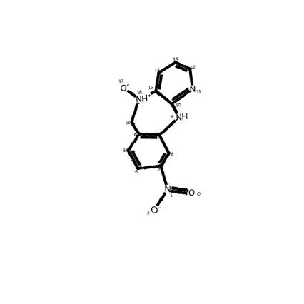 O=[N+]([O-])c1ccc2c(c1)Nc1ncccc1[NH+]([O-])C2